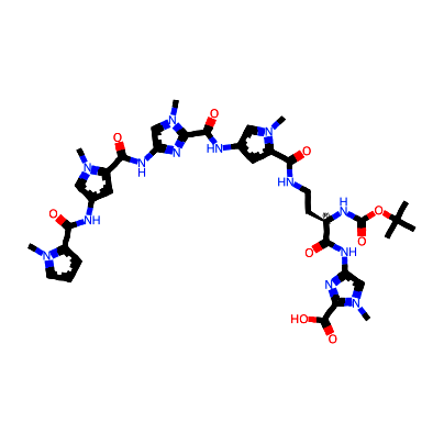 Cn1cc(NC(=O)c2nc(NC(=O)c3cc(NC(=O)c4cccn4C)cn3C)cn2C)cc1C(=O)NCC[C@@H](NC(=O)OC(C)(C)C)C(=O)Nc1cn(C)c(C(=O)O)n1